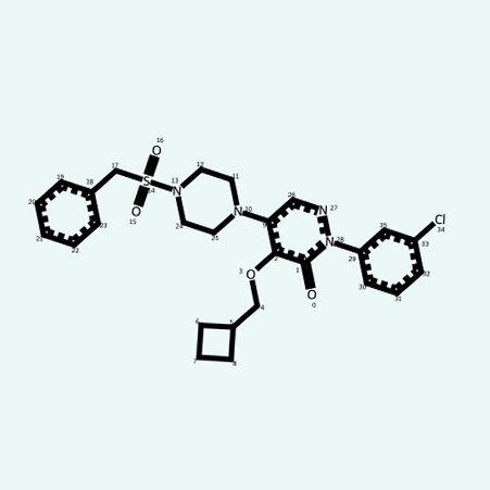 O=c1c(OCC2CCC2)c(N2CCN(S(=O)(=O)Cc3ccccc3)CC2)cnn1-c1cccc(Cl)c1